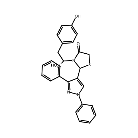 O=C(O)C(Cc1ccc(O)cc1)N1C(=O)CSC1c1cn(-c2ccccc2)nc1-c1ccccc1